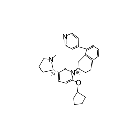 CN1CCC[C@H]1C1=CC=C(OC2CCCC2)N([C@@H]2CCc3cccc(-c4ccncc4)c3C2)C1